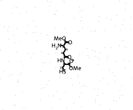 COC(=O)C(N)CCC(=O)NC(CS)C(=O)OC